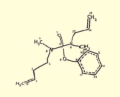 C=CCCN(C)P(=O)(Oc1ccccc1)N(C)CC=C